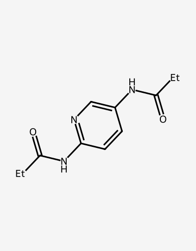 CCC(=O)Nc1ccc(NC(=O)CC)nc1